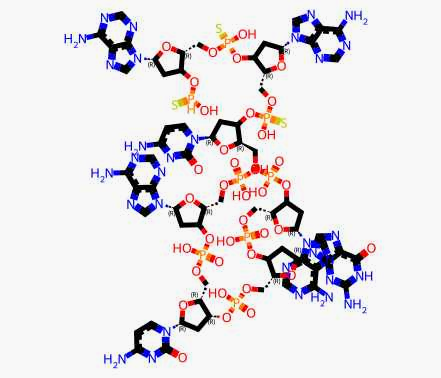 Nc1ccn([C@H]2CC(OP(O)(=S)OC[C@H]3O[C@@H](n4cnc5c(N)ncnc54)CC3OP(O)(=S)OC[C@H]3O[C@@H](n4cnc5c(N)ncnc54)CC3O[PH](O)=S)[C@@H](COP(=O)(O)OC3C[C@H](n4cnc5c(N)ncnc54)O[C@@H]3COP(=O)(O)OC3C[C@H](n4cnc5c(=O)[nH]c(N)nc54)O[C@@H]3COP(=O)(O)O[C@@H]3C[C@H](n4ccc(N)nc4=O)O[C@@H]3COP(=O)(O)OC3C[C@H](n4cnc5c(N)ncnc54)O[C@@H]3COP(=O)(O)O)O2)c(=O)n1